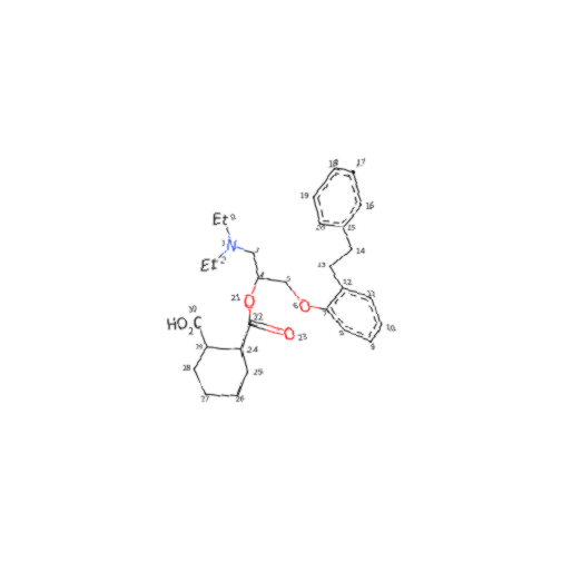 CCN(CC)CC(COc1ccccc1CCc1ccccc1)OC(=O)C1CCCCC1C(=O)O